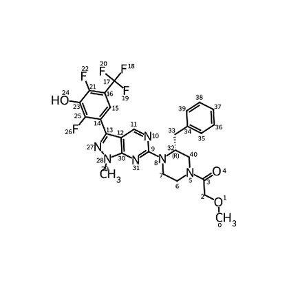 COCC(=O)N1CCN(c2ncc3c(-c4cc(C(F)(F)F)c(F)c(O)c4F)nn(C)c3n2)[C@H](Cc2ccccc2)C1